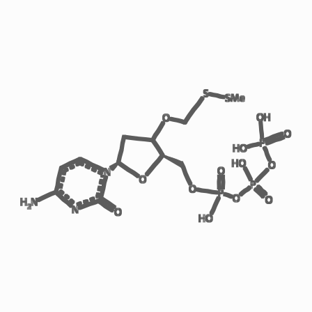 CSSCOC1C[C@H](n2ccc(N)nc2=O)O[C@@H]1COP(=O)(O)OP(=O)(O)OP(=O)(O)O